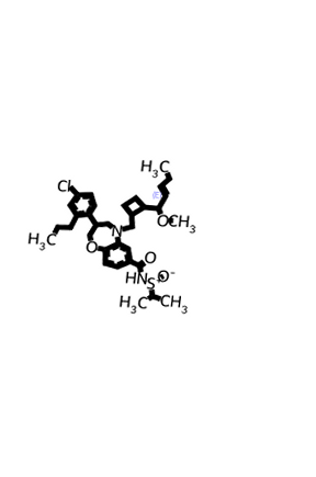 CC/C=C/C(OC)C1CCC1CN1CC(c2ccc(Cl)cc2CCC)COc2ccc(C(=O)N[S+]([O-])C(C)C)cc21